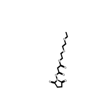 CCOCCOCCOC(=O)CC(=O)ON1C(=O)CCC1=O